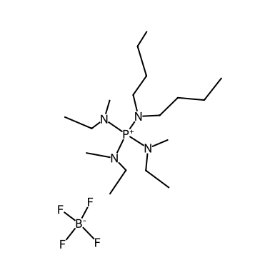 CCCCN(CCCC)[P+](N(C)CC)(N(C)CC)N(C)CC.F[B-](F)(F)F